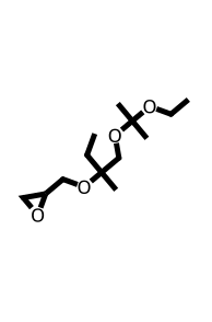 CCOC(C)(C)OCC(C)(CC)OCC1CO1